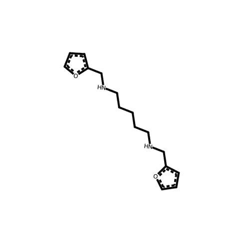 c1coc(CNCCCCCNCc2ccco2)c1